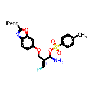 CCCC(C)c1nc2ccc(OC/C(=C\F)C(N)OS(=O)(=O)c3ccc(C)cc3)cc2o1